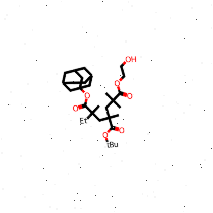 CCC(C)(CC(C)(CC(C)(C)C(=O)OCCO)C(=O)OC(C)(C)C)C(=O)OC12CC3CC(CC(C3)C1)C2